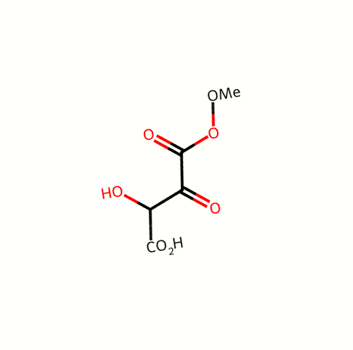 COOC(=O)C(=O)C(O)C(=O)O